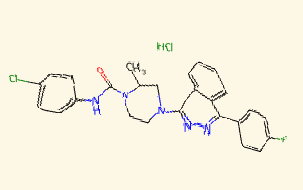 CC1CN(c2nnc(-c3ccc(F)cc3)c3ccccc23)CCN1C(=O)Nc1ccc(Cl)cc1.Cl